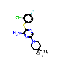 CC1(C)CCN(c2cnc(Sc3ccc(F)cc3Cl)c(N)n2)CC1